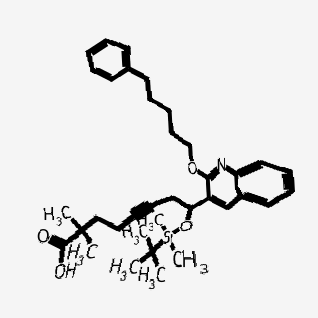 CC(C)(CCC#CCC(O[Si](C)(C)C(C)(C)C)c1cc2ccccc2nc1OCCCCCc1ccccc1)C(=O)O